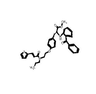 CCCN(CCOc1ccc(C[C@H](Nc2ccccc2C(=O)c2ccccc2)C(=O)OC)cc1)C(=O)/C=C/c1cccs1